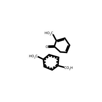 O=C(O)C1=CC=CCC1=O.O=C(O)c1ccc(C(=O)O)cc1